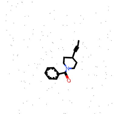 CC#CC1CCN(C(=O)c2ccccc2)CC1